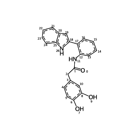 O=C(Cc1ccc(O)c(O)c1)Nc1ccccc1-c1cc2ccccc2[nH]1